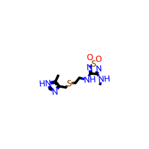 CNC1=NS(=O)(=O)N=C1NCCSCc1nc[nH]c1C